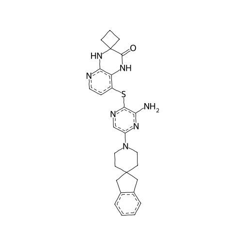 Nc1nc(N2CCC3(CC2)Cc2ccccc2C3)cnc1Sc1ccnc2c1NC(=O)C1(CCC1)N2